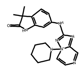 CC1(C)C(=O)Nc2cc(NC3=N[N+]4(N5CCCCC5)C=CN=CC4=N3)ccc21